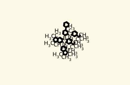 Cc1ccc(C(C)(C)C)cc1N1c2cc(-c3ccccc3)ccc2B2c3cc4c(cc3N(c3ccc5c(c3)C(C)(C)CC5(C)C)c3cc(C(C)(C)C)cc1c32)C(C)(C)CC4(C)C